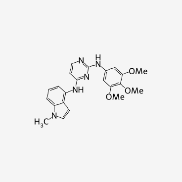 COc1cc(Nc2nccc(Nc3cccc4c3ccn4C)n2)cc(OC)c1OC